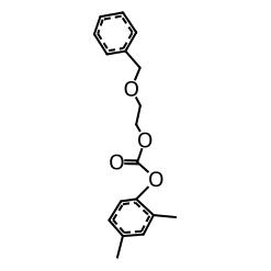 Cc1ccc(OC(=O)OCCOCc2ccccc2)c(C)c1